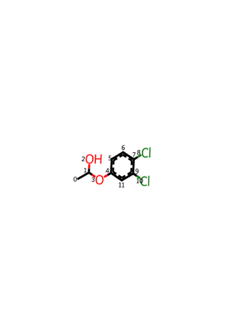 CC(O)Oc1ccc(Cl)c(Cl)c1